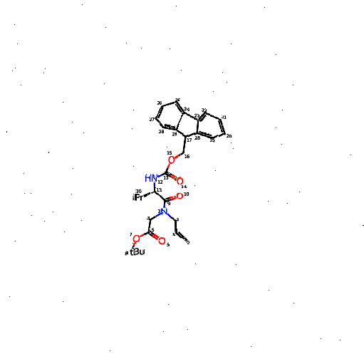 C=CCN(CC(=O)OC(C)(C)C)C(=O)[C@H](NC(=O)OCC1c2ccccc2-c2ccccc21)C(C)C